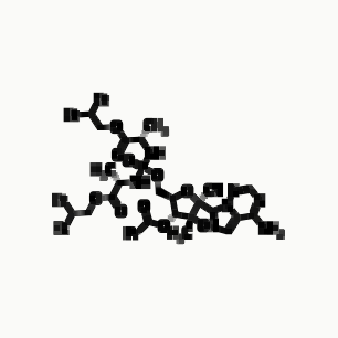 CCC(CC)COC(=O)[C@H](C)NP(=O)(N[C@@H](C)C(=O)OCC(CC)CC)OC[C@H]1O[C@@](C#N)(c2ccc3c(N)ncnn23)[C@](C)(O)[C@@H]1OC(=O)C(C)C